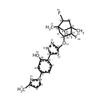 Cc1ccn(-c2ccc(-c3nnc(OC4CC5(C)C(F)CC(C)(C4F)N5C)s3)c(O)c2)n1